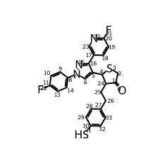 O=C1CSC(c2cn(-c3ccc(F)cc3)nc2-c2ccc(F)nc2)C1CCc1ccc(S)cc1